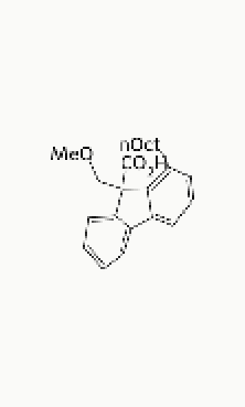 CCCCCCCCc1cccc2c1C(COC)(C(=O)O)c1ccccc1-2